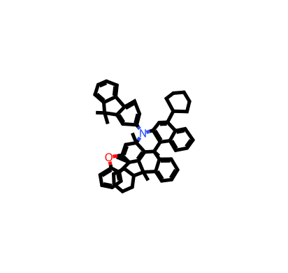 CC12C(=CC3(C)C4=C1C(C)(C1CCCCC1)c1ccccc1C4(C)c1c(cc(C4CCCCC4)c4ccccc14)N3c1ccc3c(c1)C(C)(C)c1ccccc1-3)Oc1ccccc12